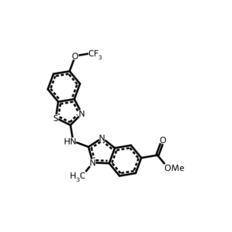 COC(=O)c1ccc2c(c1)nc(Nc1nc3cc(OC(F)(F)F)ccc3s1)n2C